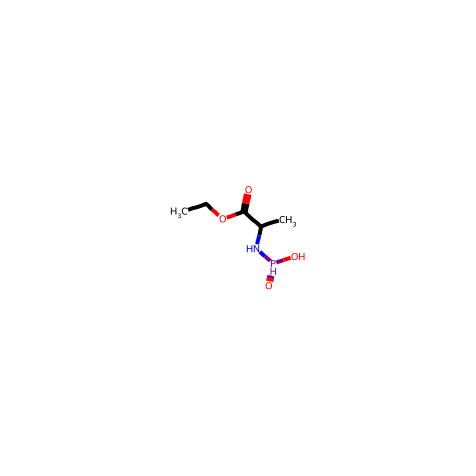 CCOC(=O)C(C)N[PH](=O)O